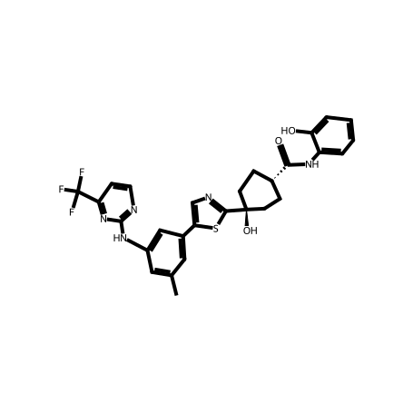 Cc1cc(Nc2nccc(C(F)(F)F)n2)cc(-c2cnc([C@]3(O)CC[C@H](C(=O)Nc4ccccc4O)CC3)s2)c1